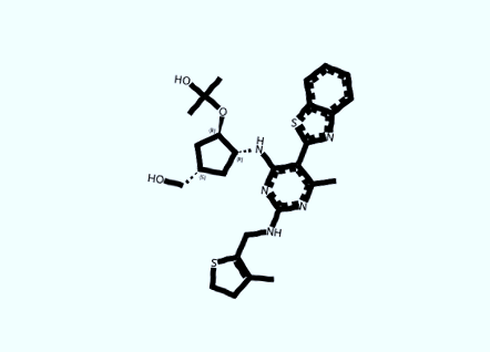 CC1=C(CNc2nc(C)c(-c3nc4ccccc4s3)c(N[C@@H]3C[C@H](CO)C[C@H]3OC(C)(C)O)n2)SCC1